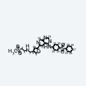 CS(=O)(=O)CCNCc1coc(-c2cc3c(Nc4ccc(S(=O)(=O)c5ccccc5)cc4)ncnc3cn2)c1